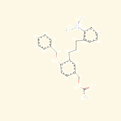 CC(C)C(=O)OCc1ccc(OCc2ccccc2)c(CCCc2ccccc2N(C(C)C)C(C)C)c1